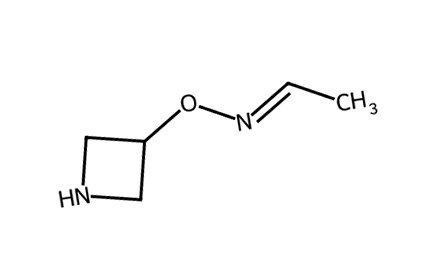 C/C=N/OC1CNC1